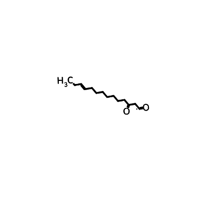 CC/C=C/CCCCCCCC(=O)C[C]=O